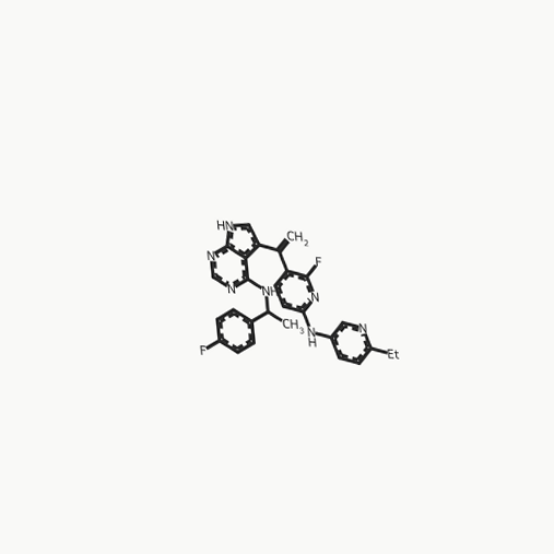 C=C(c1ccc(Nc2ccc(CC)nc2)nc1F)c1c[nH]c2ncnc(NC(C)c3ccc(F)cc3)c12